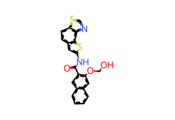 O=C(Nc1cc2ccc3scnc3c2s1)c1cc2ccccc2cc1OCO